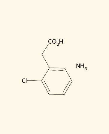 N.O=C(O)Cc1ccccc1Cl